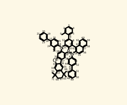 Cc1ccccc1-c1cc2c3c(c1)N(c1ccc(-c4ccccc4)cc1C)c1cc4oc5cc6c(cc5c4cc1B3N(c1ccc(-c3ccccc3)cc1)c1ccc3ccccc3c1-2)C(C)(C)CCC6(C)C